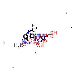 CCN(Cc1ccc2nc(OC)[nH]c(=O)c2c1)c1ccc(C(=O)N[C@H](CC(C(=O)O)C(=O)[C@H](N)CCC(=O)O)C(=O)O)cc1